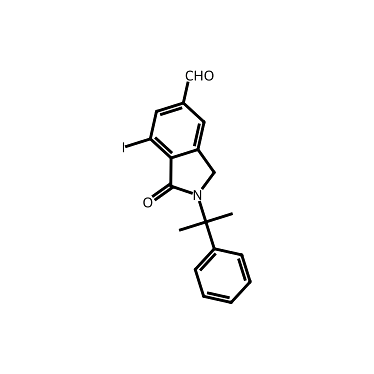 CC(C)(c1ccccc1)N1Cc2cc(C=O)cc(I)c2C1=O